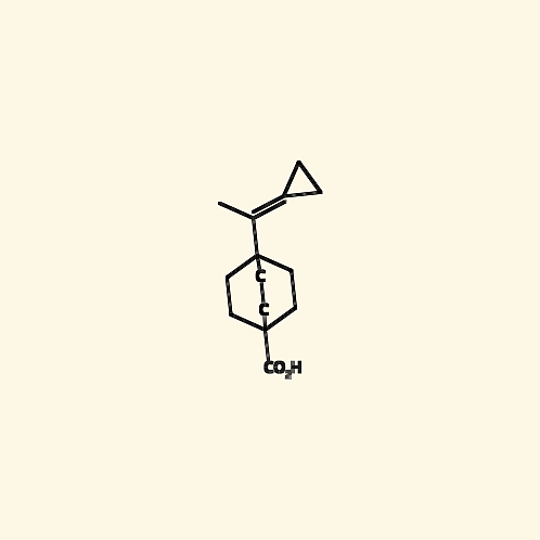 CC(=C1CC1)C12CCC(C(=O)O)(CC1)CC2